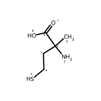 CC(N)(CCS)C(=O)O